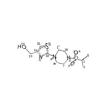 CC(C)S(=O)(=O)N1CCN(c2nc(CO)cs2)CC1